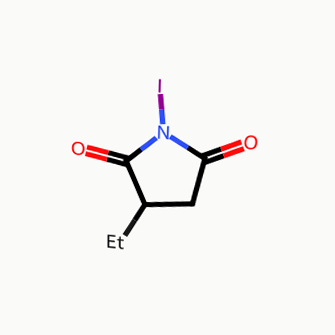 CCC1CC(=O)N(I)C1=O